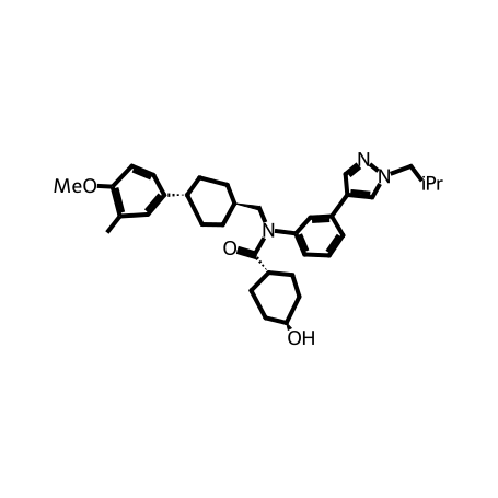 COc1ccc([C@H]2CC[C@H](CN(c3cccc(-c4cnn(CC(C)C)c4)c3)C(=O)[C@H]3CC[C@H](O)CC3)CC2)cc1C